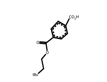 CC(C)(C)CCOC(=O)c1ccc(C(=O)O)cc1